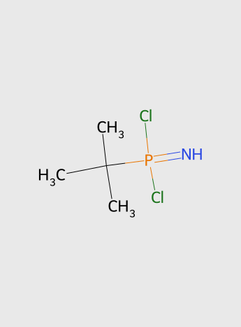 CC(C)(C)P(=N)(Cl)Cl